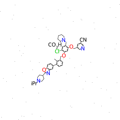 Cc1c(COc2cc(OCc3cncc(C#N)c3)c(CN3CCCCC3C(=O)O)cc2Cl)cccc1-c1ccc2oc(C3CCN(C(C)C)CC3)nc2c1